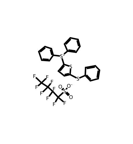 O=S(=O)([O-])C(F)(F)C(F)(F)C(F)(F)C(F)(F)F.c1ccc(Sc2ccc([S+](c3ccccc3)c3ccccc3)s2)cc1